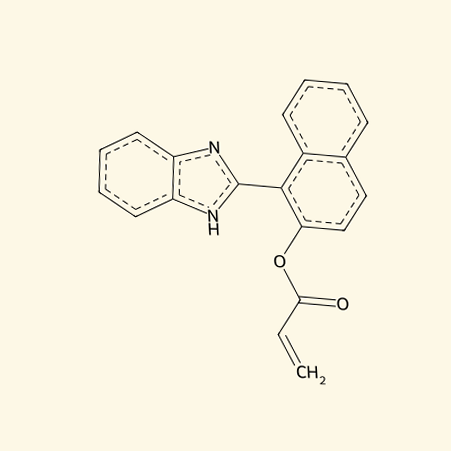 C=CC(=O)Oc1ccc2ccccc2c1-c1nc2ccccc2[nH]1